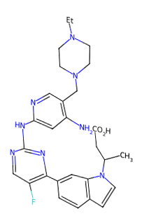 CCN1CCN(Cc2cnc(Nc3ncc(F)c(-c4ccc5ccn(C(C)CC(=O)O)c5c4)n3)cc2N)CC1